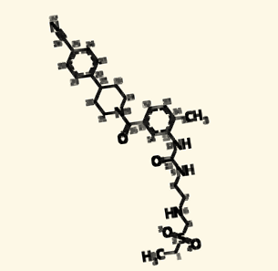 CCS(=O)(=O)CNCCNC(=O)Nc1cc(C(=O)N2CCC(c3ccc(C#N)cc3)CC2)ccc1C